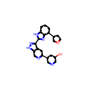 Oc1cncc(-c2cc3c(-c4nc5c(-c6ccoc6)cccc5[nH]4)n[nH]c3cn2)c1